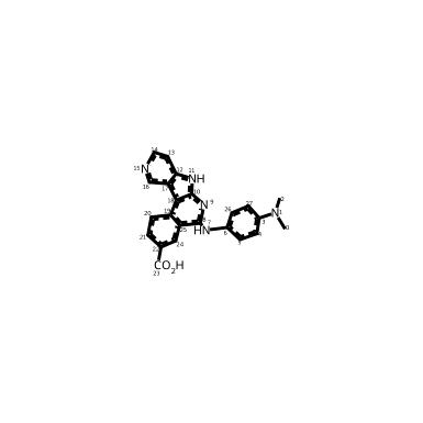 CN(C)c1ccc(Nc2nc3[nH]c4ccncc4c3c3ccc(C(=O)O)cc23)cc1